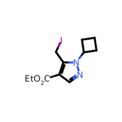 CCOC(=O)c1cnn(C2CCC2)c1CI